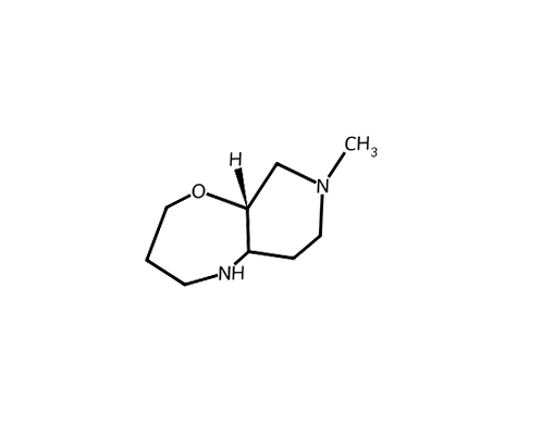 CN1CCC2NCCCO[C@@H]2C1